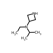 CCN(C(C)C)C1CNC1